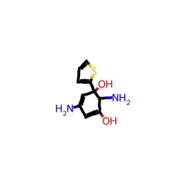 NC1=CC(O)(c2cccs2)C(N)C(O)=C1